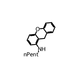 CCCCCNc1cccc2c1Cc1ccccc1O2